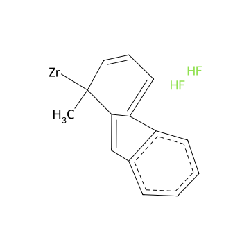 C[C]1([Zr])C=CC=C2C1=Cc1ccccc12.F.F